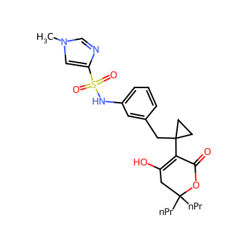 CCCC1(CCC)CC(O)=C(C2(Cc3cccc(NS(=O)(=O)c4cn(C)cn4)c3)CC2)C(=O)O1